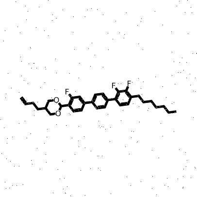 C=CCCC1COC(c2ccc(-c3ccc(-c4ccc(CCCCCCC)c(F)c4F)cc3)cc2F)OC1